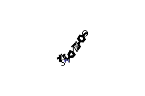 COc1ccc(N2CCN(c3ccc(/N=C4/SCC(C)(C)N4C)cc3)CC2)cc1